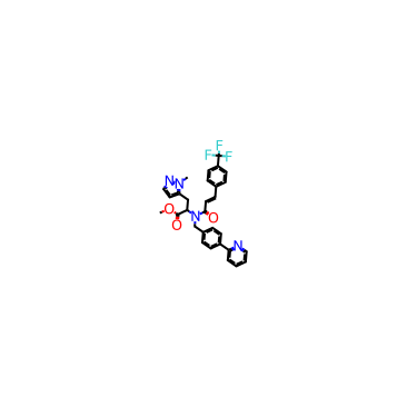 COC(=O)C(Cc1ccnn1C)N(Cc1ccc(-c2ccccn2)cc1)C(=O)C=Cc1ccc(C(F)(F)F)cc1